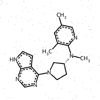 Cc1cnc(N(C)[C@@H]2CCN(c3ncnc4[nH]ccc34)C2)c(C)c1